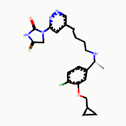 C[C@@H](NCCCCc1cnnc(N2CC(=S)NC2=O)c1)c1ccc(F)c(OCC2CC2)c1